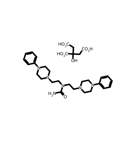 NC(=O)N(CCN1CCN(c2ccccc2)CC1)CCN1CCN(c2ccccc2)CC1.O=C(O)CC(O)(CC(=O)O)C(=O)O